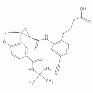 CC(C)(C)NC(=O)c1ccc2c(c1)[C@]1(CCO2)C[C@H]1C(=O)Nc1cc(C#N)ccc1CCCC(=O)O